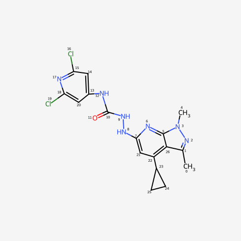 Cc1nn(C)c2nc(NNC(=O)Nc3cc(Cl)nc(Cl)c3)cc(C3CC3)c12